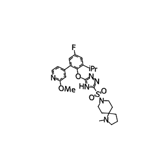 COc1cc(-c2cc(F)cc(C(C)C)c2Oc2nnc(S(=O)(=O)N3CCC4(CCCN4C)CC3)[nH]2)ccn1